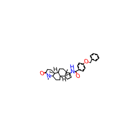 CN1C(=O)CC[C@@]2(C)C1CC[C@@H]1[C@H]2CC[C@]2(C)C(NC(=O)c3ccc(OCc4ccccc4)cc3)CC[C@@H]12